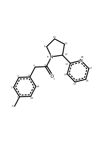 Cc1ccc(CC(=O)N2CCCC2c2ccccn2)cc1